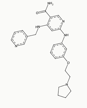 NC(=O)c1cnc(Nc2cccc(OCCN3CCCC3)c2)cc1NCc1cccnc1